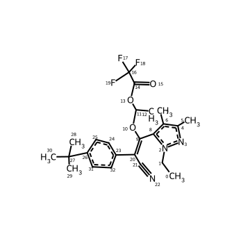 CCn1nc(C)c(C)c1/C(OC(C)OC(=O)C(F)(F)F)=C(\C#N)c1ccc(C(C)(C)C)cc1